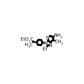 CCOC(=O)C(C)c1ccc(-n2c(CC)nc3c(C)c(N)cnc32)cc1